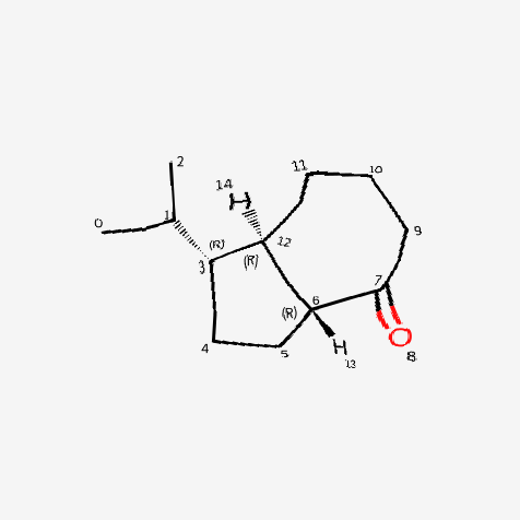 CC(C)[C@H]1CC[C@H]2C(=O)CCC[C@H]12